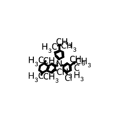 Cc1cc2c(cc1N(c1ccc(C(C)(C)C)cc1)c1cc(Cl)cc(C(C)(C)C)c1)C(C)(C)CCC2(C)C